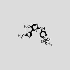 Cc1ncc(-c2nc(NC3CCN(S(C)(=O)=O)CC3)ncc2C(F)(F)F)s1